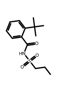 CCCS(=O)(=O)NC(=O)c1ccccc1C(C)(C)C